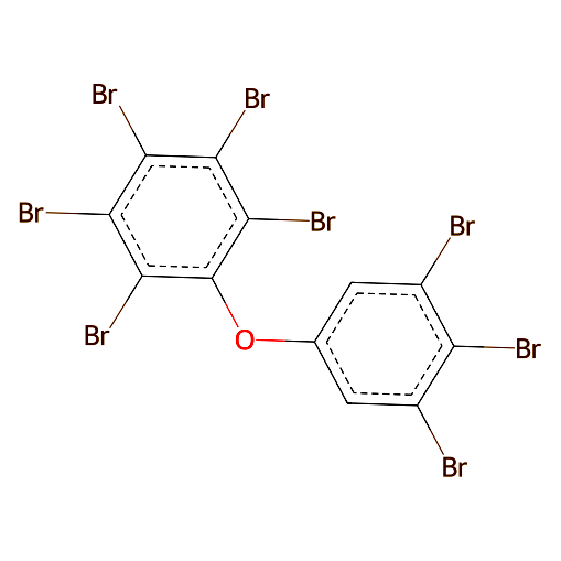 Brc1cc(Oc2c(Br)c(Br)c(Br)c(Br)c2Br)cc(Br)c1Br